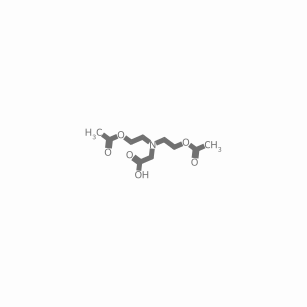 CC(=O)OCCN(CCOC(C)=O)CC(=O)O